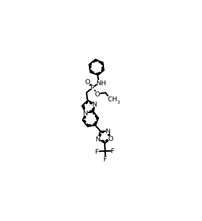 CCOP(=O)(Cc1cn2ccc(-c3noc(C(F)(F)F)n3)cc2n1)Nc1ccccc1